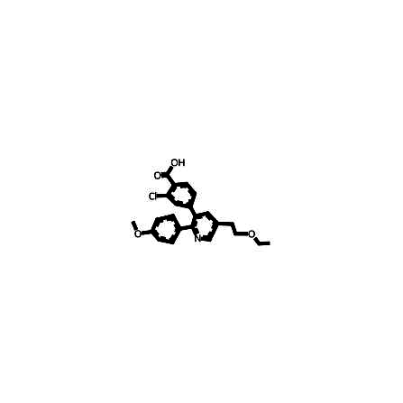 CCOCCc1cnc(-c2ccc(OC)cc2)c(-c2ccc(C(=O)O)c(Cl)c2)c1